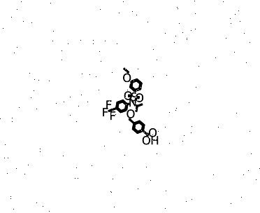 CCOc1cccc(S(=O)(=O)N(c2ccc(C(F)(F)F)cc2OCc2ccc(C(=O)O)cc2)C(C)C)c1